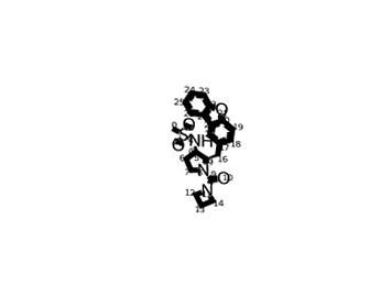 CS(=O)(=O)N[C@@H]1CCN(C(=O)N2CCC2)[C@@H]1Cc1ccc2oc3ccccc3c2c1